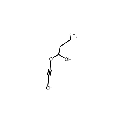 CC#COC(O)CCC